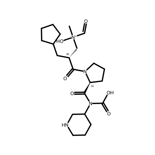 C[N+](O)(C=O)C[C@@H](CC1CCCC1)C(=O)N1CCC[C@H]1C(=O)N(C(=O)O)C1CCCNC1